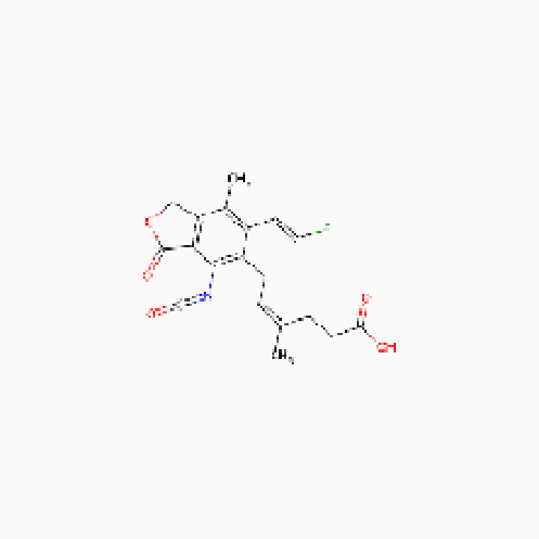 CC(=CCc1c(C=CF)c(C)c2c(c1N=C=O)C(=O)OC2)CCC(=O)O